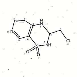 O=S1(=O)NC(CCl)Nc2ccncc21